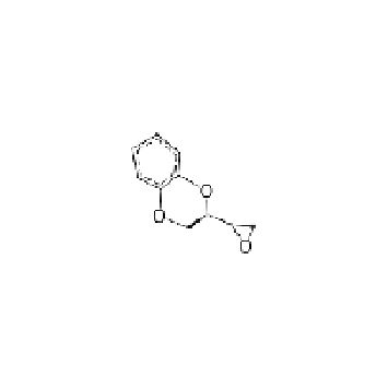 c1ccc2c(c1)OC[C@H]([C@H]1CO1)O2